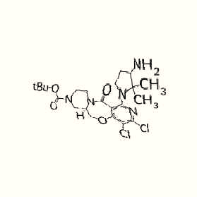 CC(C)(C)OC(=O)N1CCN2C(=O)c3c(N4CCC(N)C4(C)C)nc(Cl)c(Cl)c3OC[C@H]2C1